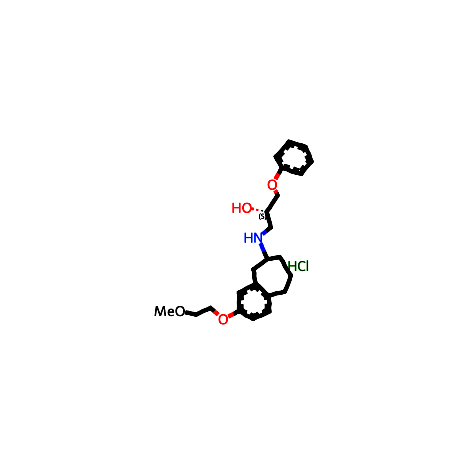 COCCOc1ccc2c(c1)CC(NC[C@H](O)COc1ccccc1)CCC2.Cl